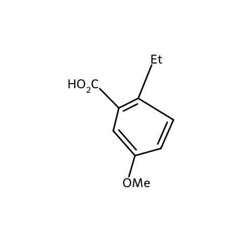 [CH2]Cc1ccc(OC)cc1C(=O)O